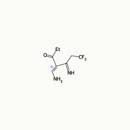 CCC(=O)/C(=C/N)C(=N)CC(F)(F)F